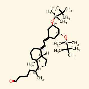 C[C@@H](CCCC=O)[C@H]1CC[C@H]2/C(=C/C=C3C[C@@H](O[Si](C)(C)C(C)(C)C)C[C@H](O[Si](C)(C)C(C)(C)C)C3)CCC[C@]12C